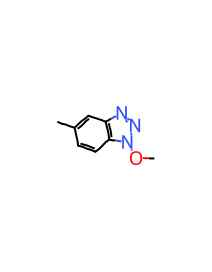 COn1nnc2cc(C)ccc21